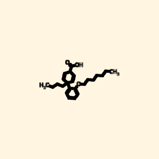 CCCCCCCOc1ccccc1C1(CCCC)C=CC(C(=O)O)C=C1